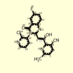 Cc1ccc(C#N)c(/C(O)=C/c2nc3ccc(F)cc3c(=O)n2-c2cccnc2Cl)n1